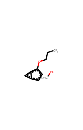 FC(F)(F)CCOc1ccc2cc1-2.O=CO